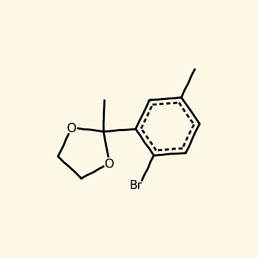 Cc1ccc(Br)c(C2(C)OCCO2)c1